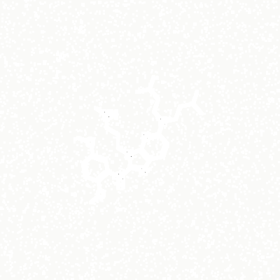 CNCCCn1c(Nc2cc(OC)ccc2OC)nc2ccc(N(CCC(C)C)CCC(C)C)nc21